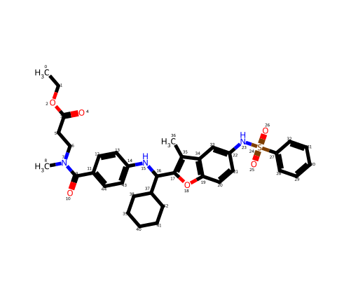 CCOC(=O)CCN(C)C(=O)c1ccc(NC(c2oc3ccc(NS(=O)(=O)c4ccccc4)cc3c2C)C2CCCCC2)cc1